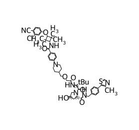 Cc1ncsc1-c1ccc(CNC(=O)[C@@H]2C[C@@H](O)CN2C(=O)[C@@H](NC(=O)COCC2CCN(c3ccc(C(=O)N[C@H]4C(C)(C)[C@H](Oc5ccc(C#N)c(Cl)c5)C4(C)C)cc3)CC2)C(C)(C)C)cc1